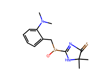 CN(C)c1ccccc1C[S+]([O-])C1=NC(=S)C(C)(C)N1